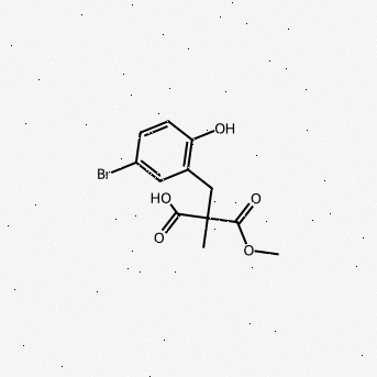 COC(=O)C(C)(Cc1cc(Br)ccc1O)C(=O)O